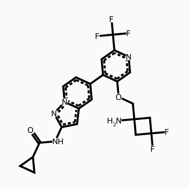 NC1(COc2cnc(C(F)(F)F)cc2-c2ccn3nc(NC(=O)C4CC4)cc3c2)CC(F)(F)C1